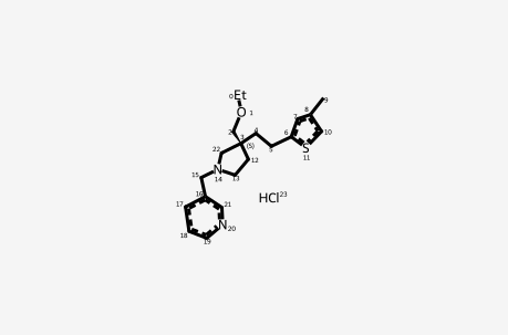 CCOC[C@@]1(CCc2cc(C)cs2)CCN(Cc2cccnc2)C1.Cl